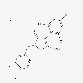 COC1=C(c2c(Cl)cc(Br)cc2Cl)C(=O)C(Cc2ccccn2)C1